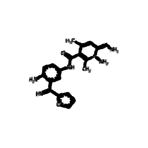 CC1=C/C(=C/N)N(N)C(C)=C1C(=O)Nc1ccc(N)c(C(=N)c2ccco2)c1